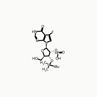 CC(C)(C)[Si](C)(C)O[C@H]1[C@@H](O[PH](=O)O)[C@H](n2cc(F)c3c(=O)[nH]cnc32)O[C@@H]1CO